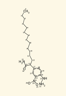 CCCCCCCCCCCCCC(C(N)=O)c1ccc(NN)c([N+](=O)[O-])c1